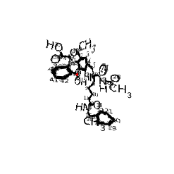 CCc1cc(C[C@H](NCCCCC(=O)NC(C)c2ccccc2)C(=O)NC(C)=O)ccc1N(C(=O)C(=O)O)c1ccccc1C(=O)O